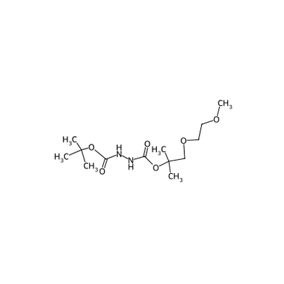 COCCOCC(C)(C)OC(=O)NNC(=O)OC(C)(C)C